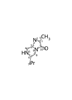 Cc1nc2c[nH]c(C(C)C)cn-2c1=O